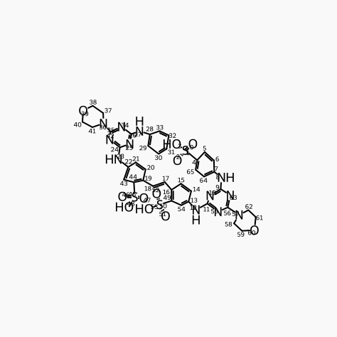 O=S(=O)(O)c1ccc(Nc2nc(Nc3ccc(C=Cc4ccc(Nc5nc(Nc6ccccc6)nc(N6CCOCC6)n5)cc4S(=O)(=O)O)c(S(=O)(=O)O)c3)nc(N3CCOCC3)n2)cc1